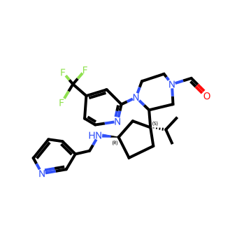 CC(C)[C@]1(C2CN(C=O)CCN2c2cc(C(F)(F)F)ccn2)CC[C@@H](NCc2cccnc2)C1